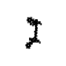 CC(C)(CCCSCCCSCCCC(C)(C)C(=O)OCc1ccccc1)CC(=O)OCc1ccccc1